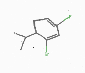 CC(C)C1CC=C(F)C=C1Br